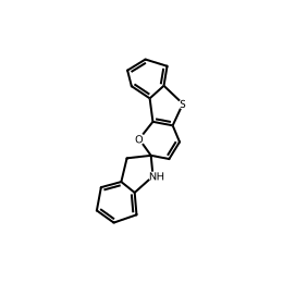 C1=CC2(Cc3ccccc3N2)Oc2c1sc1ccccc21